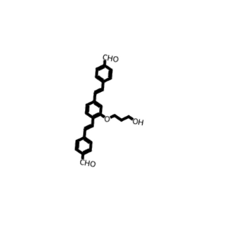 O=Cc1ccc(C=Cc2ccc(C=Cc3ccc(C=O)cc3)c(OCCCO)c2)cc1